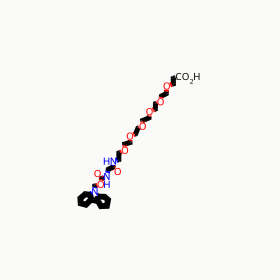 O=C(O)CCOCCOCCOCCOCCOCCOCCNC(=O)CNC(=O)OCn1c2ccccc2c2ccccc21